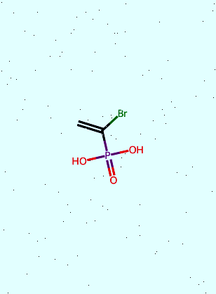 C=C(Br)P(=O)(O)O